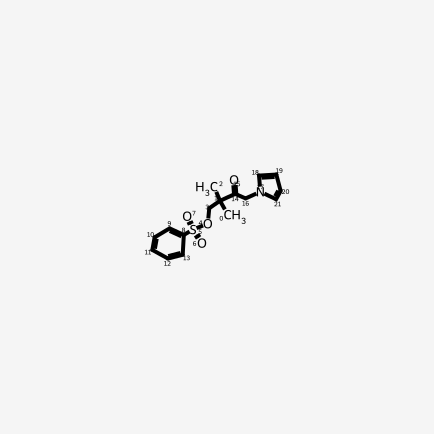 CC(C)(COS(=O)(=O)c1ccccc1)C(=O)Cn1cccc1